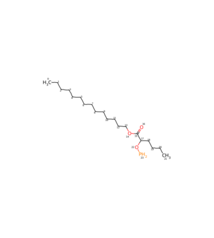 CCCCCCCCCCCCCCOC(=O)C(CCCC)OP